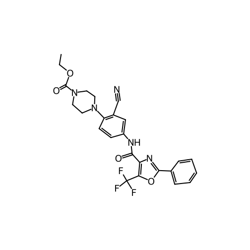 CCOC(=O)N1CCN(c2ccc(NC(=O)c3nc(-c4ccccc4)oc3C(F)(F)F)cc2C#N)CC1